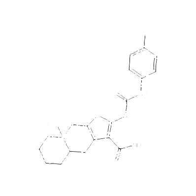 C[N+]12CCCCC1Cc1c(sc(NC(=O)Nc3ccc(Cl)cc3)c1C(N)=O)C2